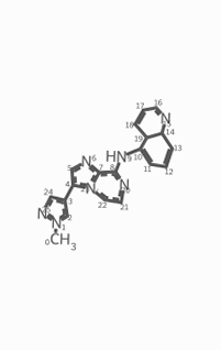 Cn1cc(-c2cnc3c(NC4=CC=CC5N=CC=CC45)nccn23)cn1